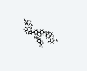 COC(=O)N[C@H](C(=O)N1CCC[C@H]1C(=O)Nc1ccc(-c2ccc(-c3c[nH]c([C@@H]4CCCN4C(=O)[C@@H](NC(=O)OC)C(C)C)n3)cc2C(=O)Nc2ccc(C(C)(C)C)cc2)cc1)C(C)C